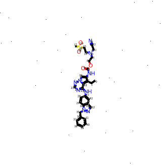 CCc1c(NC(=O)OCCN(CC#N)CCS(C)(=O)=O)cn2ncnc(Nc3ccc4c(cnn4Cc4ccccc4)c3)c12